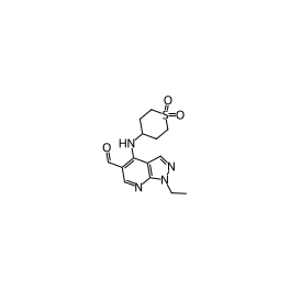 CCn1ncc2c(NC3CCS(=O)(=O)CC3)c(C=O)cnc21